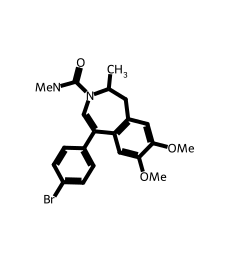 CNC(=O)N1C=C(c2ccc(Br)cc2)c2cc(OC)c(OC)cc2CC1C